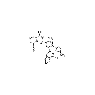 CC(NC(=O)c1nc(-c2cc(Cl)c3[nH]ncc3c2)c(-c2ccn(C)n2)nc1N)c1cncc(C#N)n1